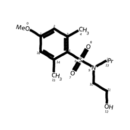 COc1cc(C)c(S(=O)(=O)N(CCO)C(C)C)c(C)c1